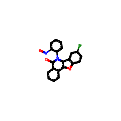 O=Nc1ccccc1-n1c(=O)c2ccccc2c2oc3ccc(Br)cc3c21